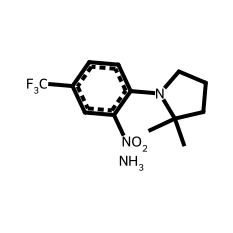 CC1(C)CCCN1c1ccc(C(F)(F)F)cc1[N+](=O)[O-].N